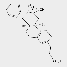 CC[C@@]12C[C@@](C)(O)[C@](O)(c3ccccc3)C[C@H]1CCc1cc(OCC(=O)O)ccc12